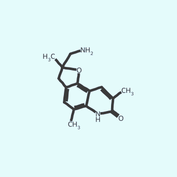 Cc1cc2c3c(cc(C)c2[nH]c1=O)CC(C)(CN)O3